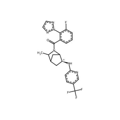 CC1C2CC([C@@H](Nc3ccc(C(F)(F)F)cn3)C2)N1C(=O)c1cccc(F)c1-n1nccn1